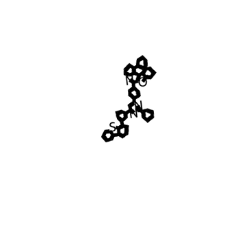 c1ccc(-c2nc(-c3ccc(-c4nc5cccc(-c6ccccc6)c5c5c4oc4ccccc45)cc3)cc(-c3cccc(-c4cccc5c4sc4ccccc45)c3)n2)cc1